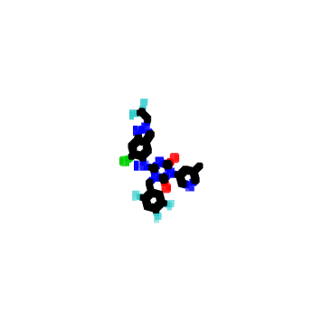 Cc1cncc(-n2c(=O)nc(Nc3cc4cn(CC(F)F)nc4cc3Cl)n(Cc3cc(F)c(F)cc3F)c2=O)c1